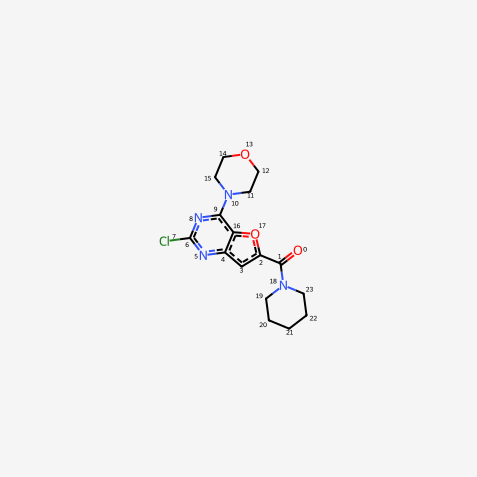 O=C(c1cc2nc(Cl)nc(N3CCOCC3)c2o1)N1CCCCC1